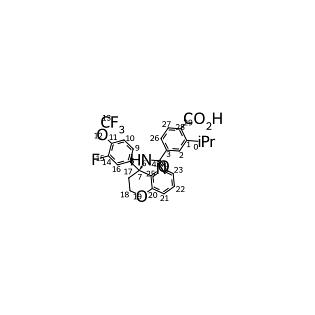 CC(C)c1cc(C(=O)N[C@]2(c3ccc(OC(F)(F)F)c(F)c3)CCOc3cccnc32)ccc1C(=O)O